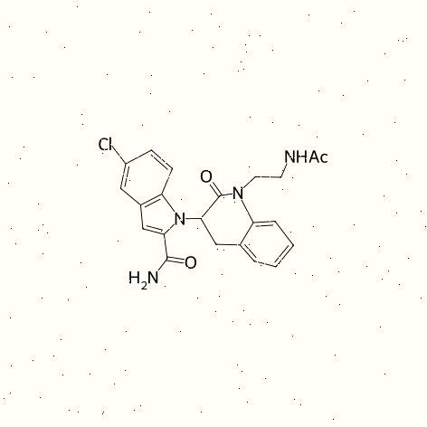 CC(=O)NCCN1C(=O)C(n2c(C(N)=O)cc3cc(Cl)ccc32)Cc2ccccc21